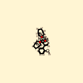 COCC1CC2CCC(C1)N2c1nc(N2C3CCC2CC(O)C3)nc2scc(-c3ccccc3OC)c12